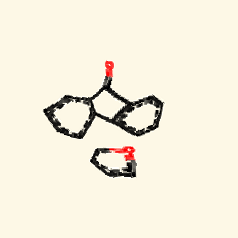 O=C1c2ccccc2-c2ccccc21.c1ccoc1